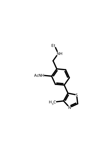 CCNCc1ccc(-c2scnc2C)cc1NC(C)=O